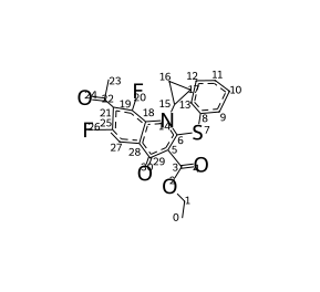 CCOC(=O)c1c(Sc2ccccc2)n(C2CC2)c2c(F)c(C(C)=O)c(F)cc2c1=O